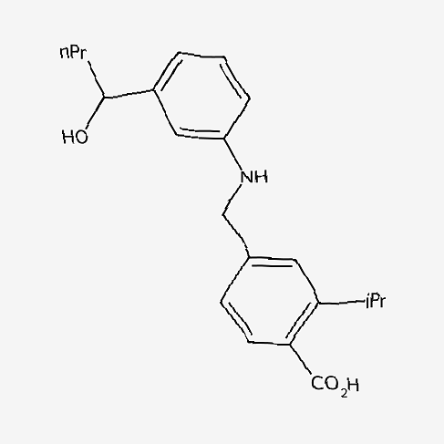 CCCC(O)c1cccc(NCc2ccc(C(=O)O)c(C(C)C)c2)c1